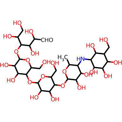 CC1OC(OC2C(CO)OC(OC3C(CO)OC(OC(C(O)CO)C(O)C(O)C=O)C(O)C3O)C(O)C2O)C(O)C(O)C1NC1C(O)C(O)C(O)C(CO)C1O